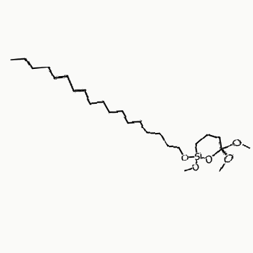 CCCCCCCCCCCCCCCCCCO[Si]1(OC)CCCC(OC)(OC)O1